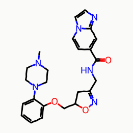 CN1CCN(c2ccccc2OCC2CC(CNC(=O)c3ccn4ccnc4c3)=NO2)CC1